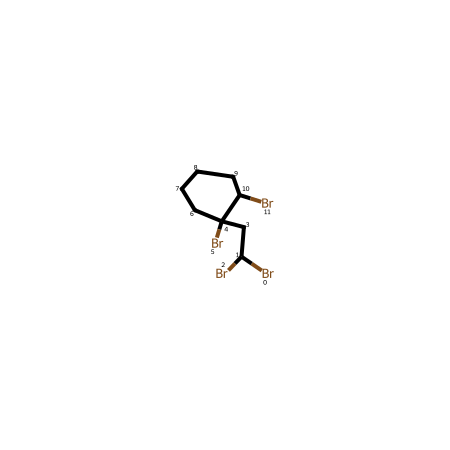 BrC(Br)CC1(Br)CCCCC1Br